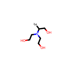 [2H]C(CO)N(CCO)CCO